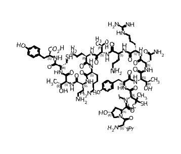 CC(C)[C@H](N)C(=O)N1C[C@H](O)C[C@H]1C(=O)N(I)[C@H](C(=O)N[C@@H](Cc1ccc(O)cc1)C(=O)N[C@H](C(=O)N[C@@H](CC(N)=O)C(=O)N[C@@H](CCCNC(=N)N)C(=O)N[C@@H](CCN)C(=O)N[C@H](C(=O)N[C@H](CCN)C(=O)N[C@@H](CCCCN)C(=O)N[C@@H](CCN)C(=O)N[C@H](C(=O)N[C@@H](CS)C(=O)N[C@@H](Cc1ccc(O)cc1)C(=O)O)[C@@H](C)O)[C@@H](C)O)[C@@H](C)O)C(C)(C)S